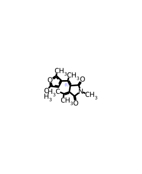 CC(C)=C1C(=O)N(C)C(=O)/C1=C(\C)c1cc(C)oc1C